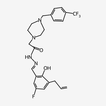 C=CCc1cc(F)cc(C=NNC(=O)CN2CCN(Cc3ccc(C(F)(F)F)cc3)CC2)c1O